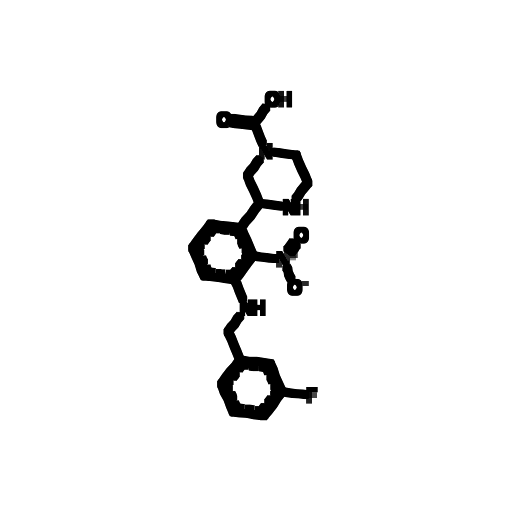 O=C(O)N1CCNC(c2cccc(NCc3cccc(F)c3)c2[N+](=O)[O-])C1